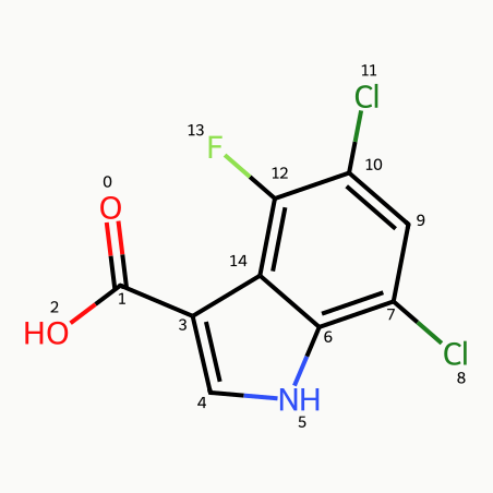 O=C(O)c1c[nH]c2c(Cl)cc(Cl)c(F)c12